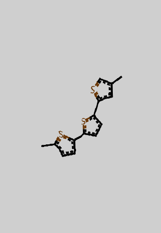 Cc1csc(-c2ccc(-c3ccc(C)s3)s2)c1